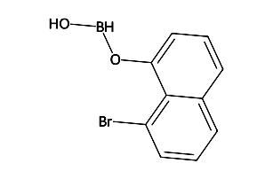 OBOc1cccc2cccc(Br)c12